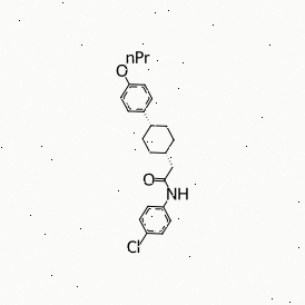 CCCOc1ccc([C@H]2CC[C@@H](CC(=O)Nc3ccc(Cl)cc3)CC2)cc1